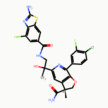 C[C@]1(C(N)=O)COc2c1cc(C(O)(CNC(=O)c1cc(F)c3nc(N)sc3c1)C(F)(F)F)nc2-c1ccc(Cl)c(F)c1